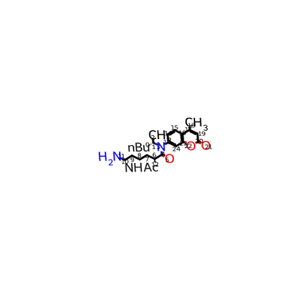 CCCC[C@H](C)N(C(=O)[C@H](CCCCN)NC(C)=O)c1ccc2c(C)cc(=O)oc2c1